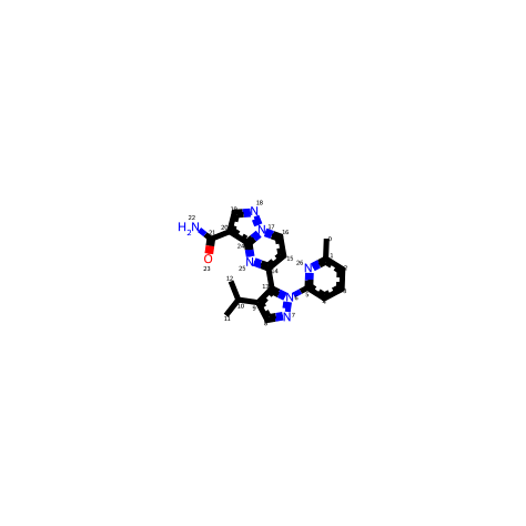 Cc1cccc(-n2ncc(C(C)C)c2-c2ccn3ncc(C(N)=O)c3n2)n1